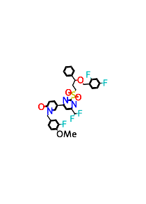 COc1ccc(Cn2cc(-c3cc(C(F)F)nc(S(=O)(=O)CCC(OCc4ccc(F)cc4F)c4ccccc4)n3)ccc2=O)cc1F